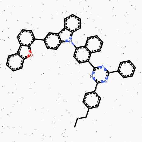 CCCc1ccc(-c2nc(-c3ccccc3)nc(-c3ccc(-n4c5ccccc5c5cc(-c6cccc7c6oc6ccccc67)ccc54)c4ccccc34)n2)cc1